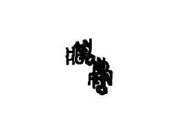 N#CC1(NC(=O)C(O)c2ccc(-c3noc(-c4onc(-c5ccccc5)c4C(F)(F)F)n3)cc2)CC1